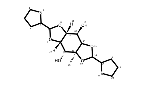 O[C@@H]1[C@@H]2OC(C3CCCS3)O[C@@H]2[C@@H](O)C2OC(C3CCCS3)O[C@H]21